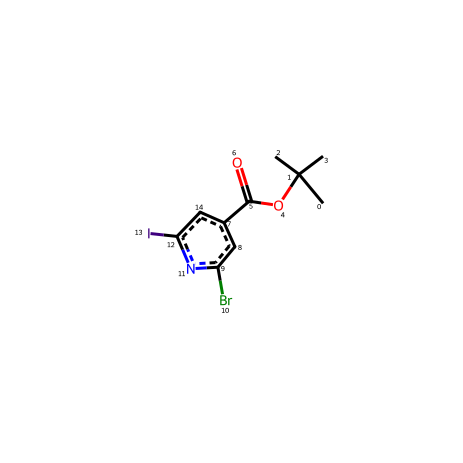 CC(C)(C)OC(=O)c1cc(Br)nc(I)c1